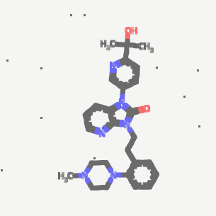 CN1CCN(c2ccccc2CCn2c(=O)n(-c3ccc(C(C)(C)O)nc3)c3cccnc32)CC1